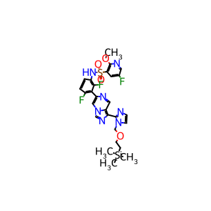 COc1ncc(F)cc1S(=O)(=O)Nc1ccc(F)c(-c2cn3cnc(-c4nccn4COCC[Si](C)(C)C)c3cn2)c1F